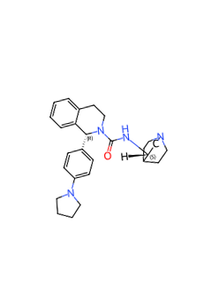 O=C(N[C@@H]1CN2CCC1CC2)N1CCc2ccccc2[C@H]1c1ccc(N2CCCC2)cc1